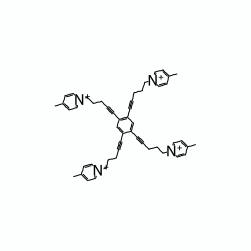 Cc1cc[n+](CCCC#Cc2cc(C#CCCC[n+]3ccc(C)cc3)c(C#CCCC[n+]3ccc(C)cc3)cc2C#CCCC[n+]2ccc(C)cc2)cc1